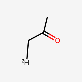 [2H]CC(C)=O